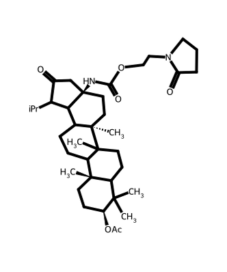 CC(=O)O[C@H]1CC[C@@]2(C)C(CCC3(C)C2CCC2C4C(C(C)C)C(=O)C[C@]4(NC(=O)OCCN4CCCC4=O)CC[C@]23C)C1(C)C